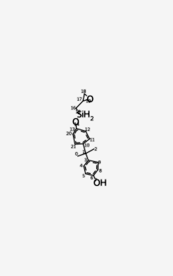 CC(C)(c1ccc(O)cc1)c1ccc(O[SiH2]CC2CO2)cc1